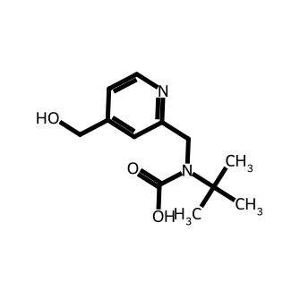 CC(C)(C)N(Cc1cc(CO)ccn1)C(=O)O